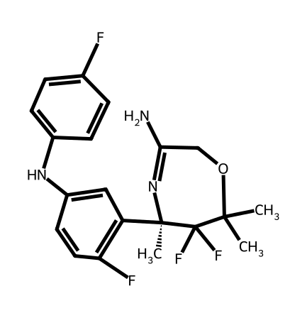 CC1(C)OCC(N)=N[C@](C)(c2cc(Nc3ccc(F)cc3)ccc2F)C1(F)F